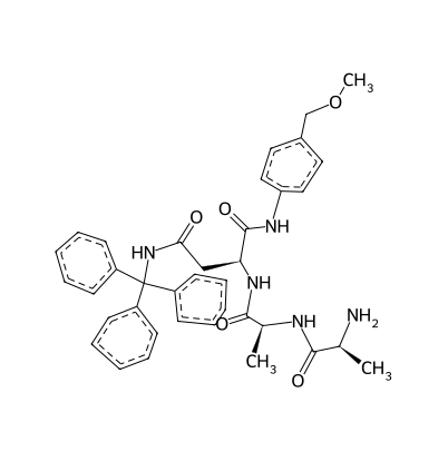 COCc1ccc(NC(=O)[C@H](CC(=O)NC(c2ccccc2)(c2ccccc2)c2ccccc2)NC(=O)[C@H](C)NC(=O)[C@H](C)N)cc1